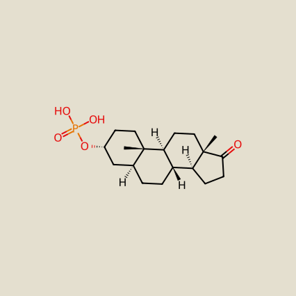 C[C@]12CC[C@@H](OP(=O)(O)O)C[C@@H]1CC[C@@H]1[C@@H]2CC[C@]2(C)C(=O)CC[C@@H]12